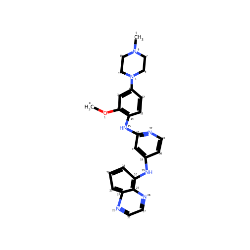 COc1cc(N2CCN(C)CC2)ccc1Nc1cc(Nc2cccc3nccnc23)ccn1